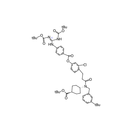 CC(C)(C)OC(=O)/N=C(/NC(=O)OC(C)(C)C)Nc1ccc(C(=O)Oc2ccc(CCC(=O)N(Cc3cccc(C(C)(C)C)c3)[C@H]3CC[C@H](C(=O)OC(C)(C)C)CC3)c(Cl)c2)cc1